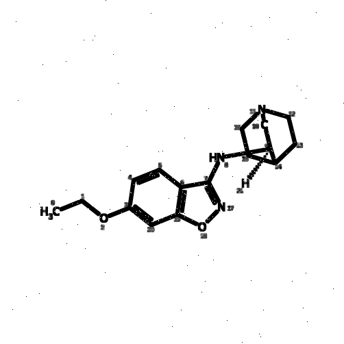 CCOc1ccc2c(N[C@H]3CN4CCC3CC4)noc2c1